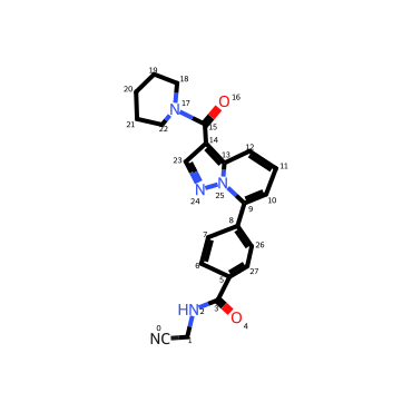 N#CCNC(=O)c1ccc(-c2cccc3c(C(=O)N4CCCCC4)cnn23)cc1